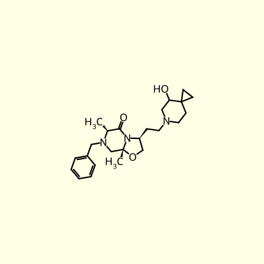 C[C@H]1C(=O)N2[C@@H](CCN3CCC4(CC4)C(O)C3)CO[C@]2(C)CN1Cc1ccccc1